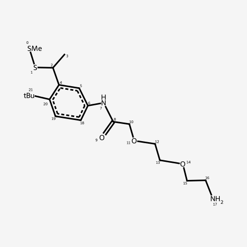 CSSC(C)c1cc(NC(=O)COCCOCCN)ccc1C(C)(C)C